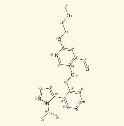 COCCOc1cc(C=O)c(OCc2nccnc2-c2ccnn2C(C)C)cn1